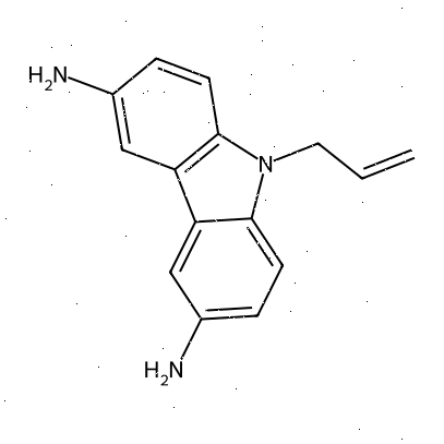 C=CCn1c2ccc(N)cc2c2cc(N)ccc21